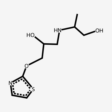 CC(CO)NCC(O)COc1nccs1